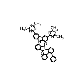 Cc1nc(C)nc(-c2ccc3c(c2)c2cc(-c4nc(C)nc(C)n4)ccc2n3-c2cccc3c2C(=O)N(c2cccc(-c4ccccc4)c2-c2ccccc2)C3=O)n1